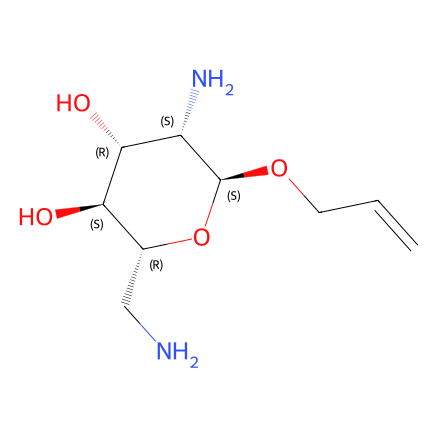 C=CCO[C@H]1O[C@H](CN)[C@@H](O)[C@H](O)[C@@H]1N